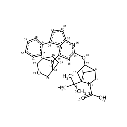 CC(C)(C)C12CC(CN1C(=O)O)C(Oc1nc(N3C4CCC3COC4)c3c(-c4ccccc4)csc3n1)C2